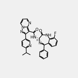 CC(C)c1ccc(-c2nn3cccnc3c2C(=O)N[C@H]2N=C(c3ccccc3)c3cccc(F)c3NC2=O)cn1